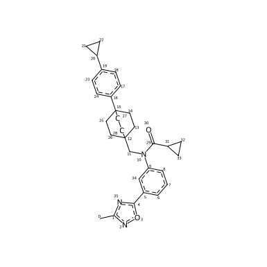 Cc1noc(-c2cccc(N(CC34CCC(c5ccc(C6CC6)cc5)(CC3)CC4)C(=O)C3CC3)c2)n1